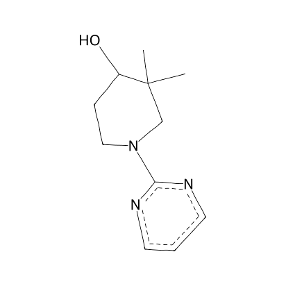 CC1(C)CN(c2ncccn2)CCC1O